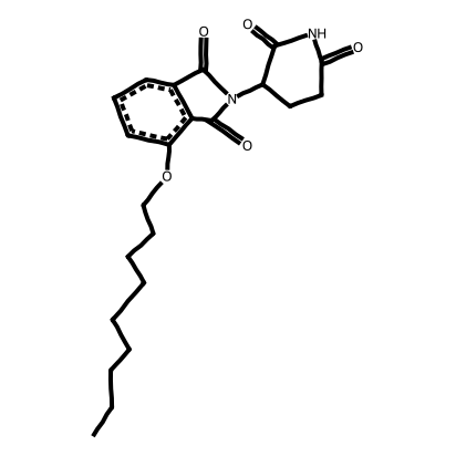 CCCCCCCCCOc1cccc2c1C(=O)N(C1CCC(=O)NC1=O)C2=O